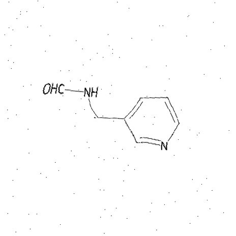 O=CN[CH]c1cccnc1